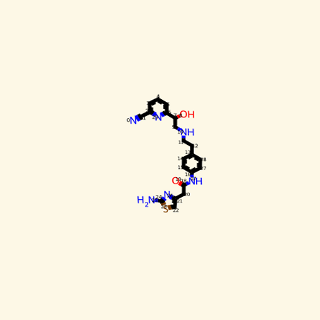 N#Cc1cccc(C(O)CNCCc2ccc(NC(=O)Cc3csc(N)n3)cc2)n1